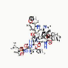 C=CC1CC1(NC(=O)C1CC(Oc2cc(-c3ccccn3)nc3cc(OC)ccc23)CN1C(=O)C(NC(=O)OC(C)(C)C)C(C)(C)C)C(=O)NS(=O)(=O)C1(CC2CC2)CC1